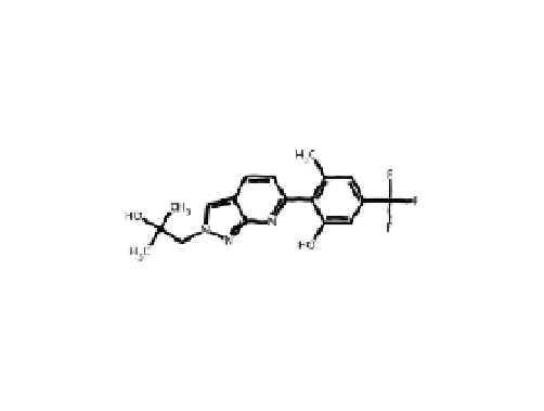 Cc1cc(C(F)(F)F)cc(O)c1-c1ccc2cn(CC(C)(C)O)nc2n1